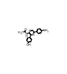 CC(=O)Nc1ncc(-c2ccc(N)cc2)nc1-c1ccc(O)cc1